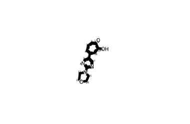 O=c1cccc(-c2cnc(N3CCOCC3)nc2)cc1O